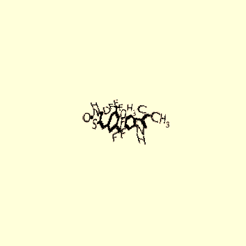 CC(C)c1c[nH]c2ccc(Oc3c(C(F)(F)F)cc(C=C4SC(=O)NC4=O)cc3C(F)(F)F)cc12